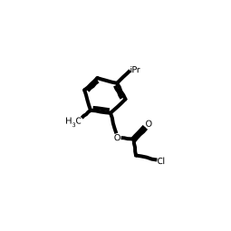 Cc1ccc(C(C)C)cc1OC(=O)CCl